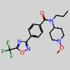 CCCN(C(=O)c1ccc(-c2noc(C(F)(F)F)n2)cc1)C1CCN(OC)CC1